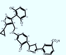 O=C(O)c1ccnc(C2=NOC(c3ccc(OCc4c(-c5c(Cl)cccc5Cl)noc4C4CC4)cc3Cl)C2)c1